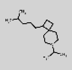 CC(C)CCCC1CCC12CCN(C(C)C)CC2